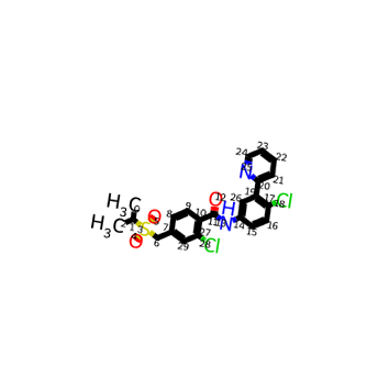 CC(C)S(=O)(=O)Cc1ccc(C(=O)Nc2ccc(Cl)c(-c3ccccn3)c2)c(Cl)c1